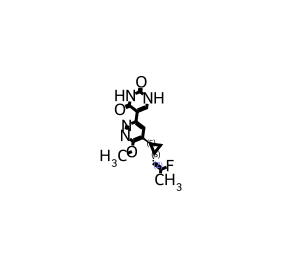 COc1nnc(-c2c[nH]c(=O)[nH]c2=O)cc1[C@H]1C[C@@H]1/C=C(/C)F